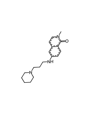 Cn1ccc2cc(NCCCN3CCCCC3)ccc2c1=O